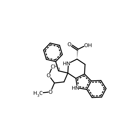 COC(CC1(Cc2ccccc2)N[C@H](C(=O)O)Cc2c1[nH]c1ccccc21)OC